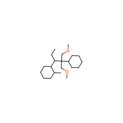 CCC(C1CCCCC1C)C(COC)(COC)C1CCCCC1